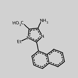 CCn1c(-c2cccc3ccccc23)nc(N)c1C(=O)O